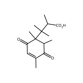 CC1=CC(=O)C(C)(C(C)(C)C(C)C(=O)O)C(C)C1=O